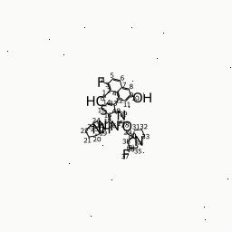 C#Cc1c(F)ccc2cc(O)cc(-c3csc4c(N5CC6CCC(C5)N6)nc(OC[C@@]56CCCN5C[C@H](F)C6)nc34)c12